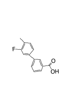 Cc1ccc(-c2cccc(C(=O)O)c2)cc1F